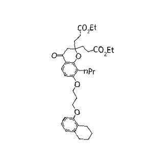 CCCc1c(OCCCOc2cccc3c2CCCC3)ccc2c1OC(CCC(=O)OCC)(CCC(=O)OCC)CC2=O